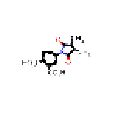 CC1C(=O)N(c2ccc(C(=O)O)c(C(=O)O)c2)C(=O)C1C